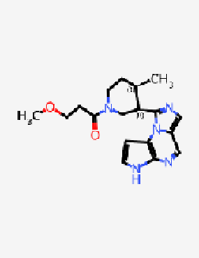 COCCC(=O)N1CC[C@@H](C)[C@@H](c2ncc3cnc4[nH]ccc4n23)C1